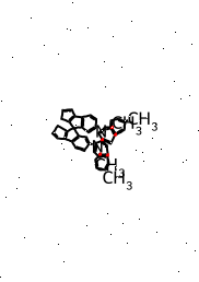 Cc1ccc(N(c2ccc(C)cc2)c2ccc3c(c2)C2(C4=C3C=CC4)C3=C(C=CC3)c3ccc(N(c4ccc(C)cc4)c4ccc(C)cc4)cc32)cc1